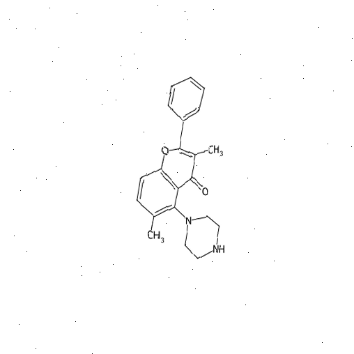 Cc1ccc2oc(-c3ccccc3)c(C)c(=O)c2c1N1CCNCC1